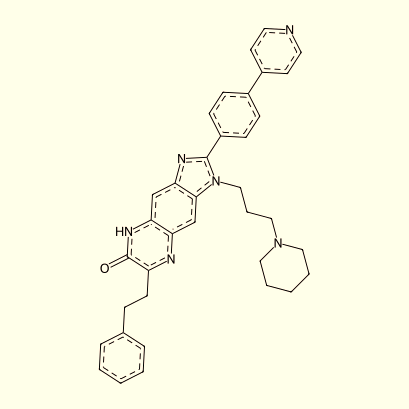 O=c1[nH]c2cc3nc(-c4ccc(-c5ccncc5)cc4)n(CCCN4CCCCC4)c3cc2nc1CCc1ccccc1